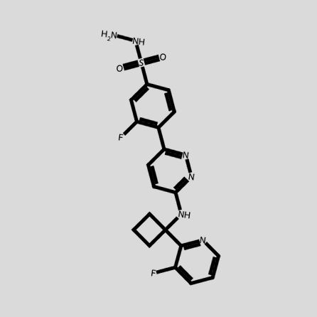 NNS(=O)(=O)c1ccc(-c2ccc(NC3(c4ncccc4F)CCC3)nn2)c(F)c1